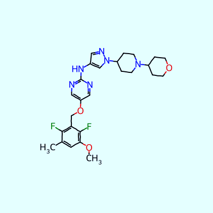 COc1cc(C)c(F)c(COc2cnc(Nc3cnn(C4CCN(C5CCOCC5)CC4)c3)nc2)c1F